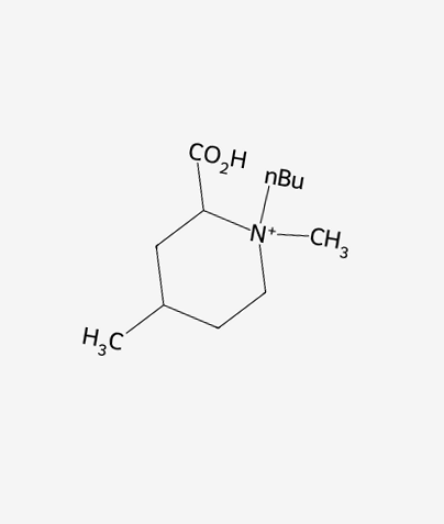 CCCC[N+]1(C)CCC(C)CC1C(=O)O